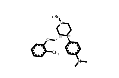 CCCCN1CC[C@@H](c2ccc(N(C)C)cc2)[C@H](COc2ccccc2C(F)(F)F)C1